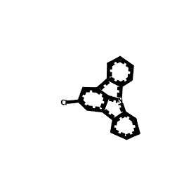 Clc1cc2c3ccccc3n3c4ccccc4c(c1)c23